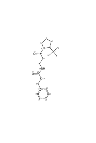 CC(C)(C)C1CCCN1C(=O)CCNC(=O)OCc1ccccc1